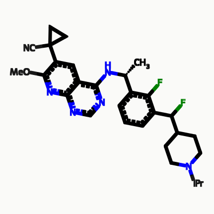 COc1nc2ncnc(N[C@H](C)c3cccc(C(F)C4CCN(C(C)C)CC4)c3F)c2cc1C1(C#N)CC1